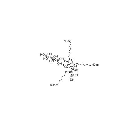 CCCCCCCCCCCCCCCCCC(=O)C(O)(C(=O)CCCCCCCCCCCCCCCCC)[C@@](O)(C(=O)CCCCCCCCCCCCCCCCC)[C@@H](O)[C@H](O)[C@H](O)CO.OP(O)O.OP(O)O.OP(O)O